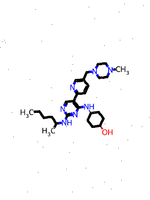 CCCCC(C)Nc1ncc(-c2ccc(CN3CCN(C)CC3)cn2)c(N[C@H]2CC[C@H](O)CC2)n1